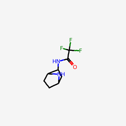 O=C(NC1CC2CCC1N2)C(F)(F)F